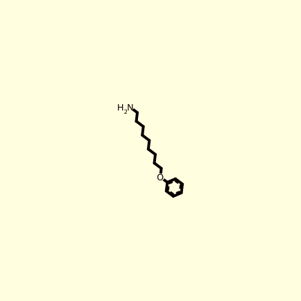 NCCCCCCCCCOc1ccccc1